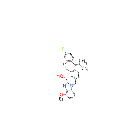 CCOc1cccc2c1nc(CO)n2Cc1ccc2c(c1)COc1cc(F)ccc1C2=C(C)C#N